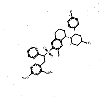 COc1ccc(CN(c2ncccn2)S(=O)(=O)c2cc3c(cc2F)[C@@H](N2CCC(C(F)(F)F)C[C@H]2c2ccc(F)cc2)CCO3)c(OC)c1